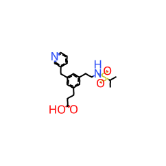 CC(C)S(=O)(=O)NCCc1cc(CCC(=O)O)cc(Cc2cccnc2)c1